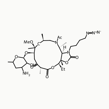 CC[C@H]1OC(=O)[C@H](C)C(=O)C[C@@H](O[C@@H]2OC(C)CC(N)C2O)[C@@](C)(OC)C[C@@H](C)CN(C(C)=O)[C@H](C)[C@H]2N(CCCCN=[N+]=[N-])C(=O)O[C@]12C